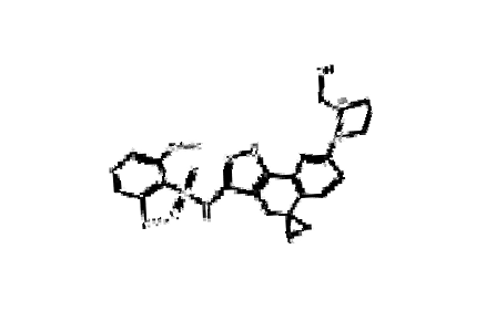 COc1cccc(OC)c1S(=O)(=O)Nc1noc2c1CC1(CC1)c1ccc(N3CC[C@@H]3CO)cc1-2